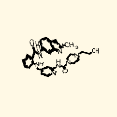 Cn1cc2ccc(NC(=O)c3ccccc3NCc3ccnc(NC(=O)N4CCN(CCO)CC4)c3)cc2n1